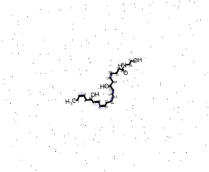 CC/C=C\C[C@H](O)/C=C/C=C\C/C=C\C=C\[C@H](O)C/C=C\CCC(=O)NCCO